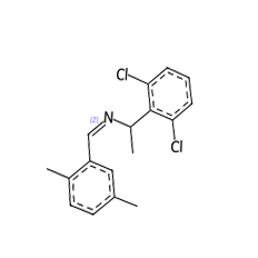 Cc1ccc(C)c(/C=N\C(C)c2c(Cl)cccc2Cl)c1